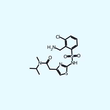 CC(C)N(C)C(=O)Cc1csc(NS(=O)(=O)c2cccc(Cl)c2CN)n1